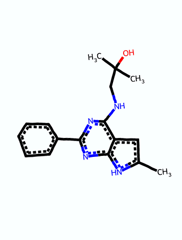 Cc1cc2c(NCC(C)(C)O)nc(-c3ccccc3)nc2[nH]1